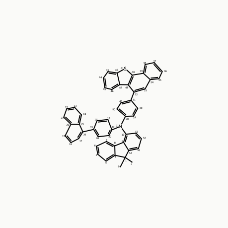 CC1(C)c2ccccc2-c2c(N(c3ccc(-c4cccc5ccccc45)cc3)c3ccc(-c4cc5ccccc5c5sc6ccccc6c45)cc3)cccc21